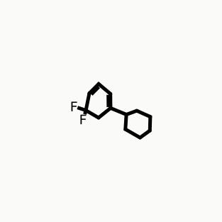 FC1(F)C=CC=C(C2CCCCC2)C1